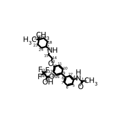 CC(=O)Nc1cccc(-c2ccc(OCCNC3CCC(C)(C)CC3)cc2)c1.O=C(O)C(F)(F)F